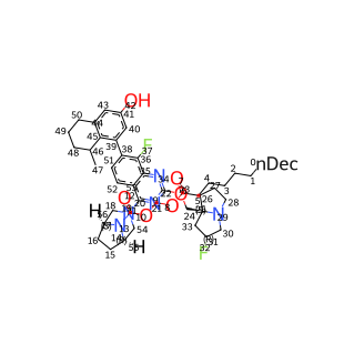 CCCCCCCCCCCCCCCC(=O)OCOC(=O)N1[C@@H]2CC[C@H]1CN(c1nc(OC[C@@]34CCCN3C[C@H](F)C4)nc3c(F)c(-c4cc(O)cc5c4C(C)CCC5)ccc13)C2